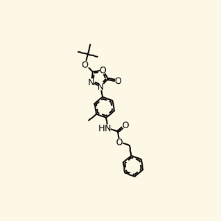 Cc1cc(-n2nc(OC(C)(C)C)oc2=O)ccc1NC(=O)OCc1ccccc1